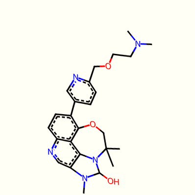 CN(C)CCOCc1ccc(-c2ccc3ncc4c5c3c2OCC(C)(C)N5C(O)N4C)cn1